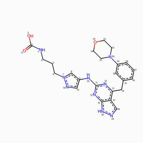 O=C(O)NCCCn1cc(Nc2nc(Cc3cccc(N4CCOCC4)c3)c3cn[nH]c3n2)cn1